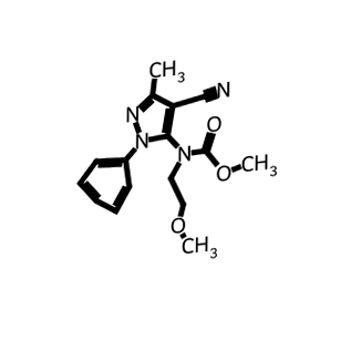 COCCN(C(=O)OC)c1c(C#N)c(C)nn1-c1ccccc1